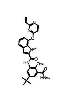 C=Cc1nccc(Oc2cccc3cc(C(=O)Nc4cc(C(C)(C)C)cc(C(=O)NC)c4OC)n(C)c23)n1